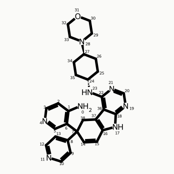 Nc1ccncc1C1(c2ccncc2)C=Cc2[nH]c3ncnc(N[C@H]4CC[C@H](N5CCOCC5)CC4)c3c2C1